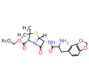 CC(=O)OCOC(=O)[C@@H]1N2C(=O)[C@@H](NC(=O)C(N)Cc3ccc4c(c3)OCO4)[C@H]2SC1(C)C